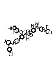 CC1(C)CCC(CN2CCN(c3ccc(C(=O)NS(=O)(=O)c4ccc(NC5CCN(C6CCOCC6F)CC5)c([N+](=O)[O-])c4)c(Oc4cnc5[nH]ccc5c4)c3)CC2)=C(c2ccc(Cl)cc2)C1